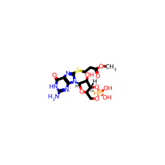 COC(=O)CCSc1nc2c(=O)[nH]c(N)nc2n1[C@@H]1OC2CO[PH](O)(O)O[C@H]2C1O